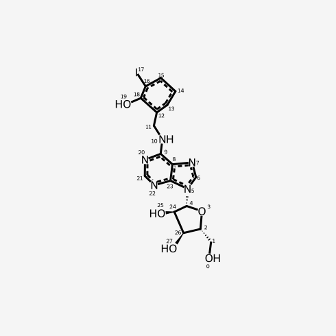 OC[C@H]1O[C@@H](n2cnc3c(NCc4cccc(I)c4O)ncnc32)[C@H](O)[C@@H]1O